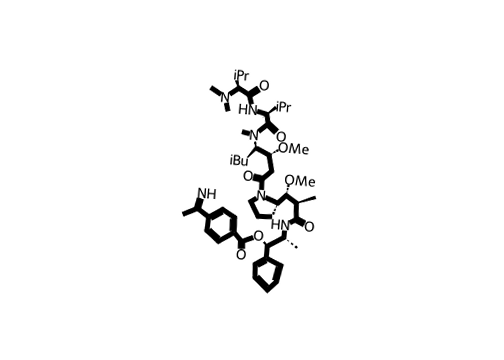 CC[C@H](C)[C@@H]([C@@H](CC(=O)N1CCC[C@H]1[C@H](OC)[C@@H](C)C(=O)N[C@H](C)[C@@H](OC(=O)c1ccc(C(C)=N)cc1)c1ccccc1)OC)N(C)C(=O)[C@@H](NC(=O)[C@H](C(C)C)N(C)C)C(C)C